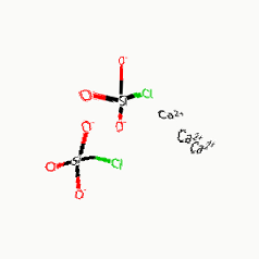 [Ca+2].[Ca+2].[Ca+2].[O-][Si]([O-])([O-])Cl.[O-][Si]([O-])([O-])Cl